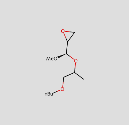 CCCCOCC(C)O[C@@H](OC)C1CO1